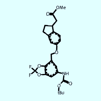 COC(=O)CC1CCc2cc(OCc3cc(NC(=O)OC(C)(C)C)cc4c3OC(F)(F)O4)ccc21